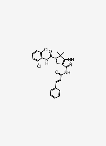 CC1(C)c2[nH]nc(NC(=O)C=Cc3ccccc3)c2CN1C(=O)Nc1c(Cl)cccc1Cl